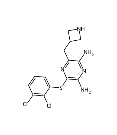 Nc1nc(N)c(Sc2cccc(Cl)c2Cl)nc1CC1CNC1